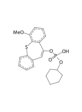 COc1cccc2c1Sc1ccccc1C=C2OP(=O)(O)OC1CCCCC1